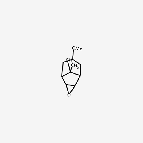 COC1CC2C3OC3C(C1)C2(C)C